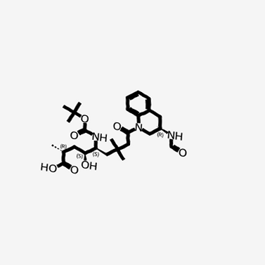 C[C@H](C[C@H](O)[C@H](CC(C)(C)CC(=O)N1C[C@H](NC=O)Cc2ccccc21)NC(=O)OC(C)(C)C)C(=O)O